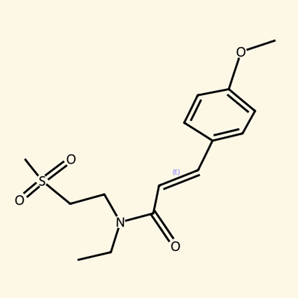 CCN(CCS(C)(=O)=O)C(=O)/C=C/c1ccc(OC)cc1